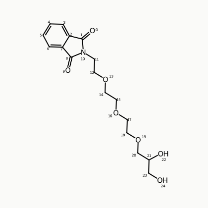 O=C1c2ccccc2C(=O)N1CCOCCOCCOCC(O)CO